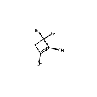 OC1=C(Br)CC1(Br)Br